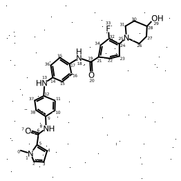 Cn1cccc1C(=O)Nc1ccc(Nc2ccc(NC(=O)c3ccc(N4CCC(O)CC4)c(F)c3)cc2)cc1